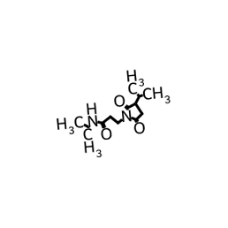 CC(C)NC(=O)CCN1C(=O)CC(C(C)C)C1=O